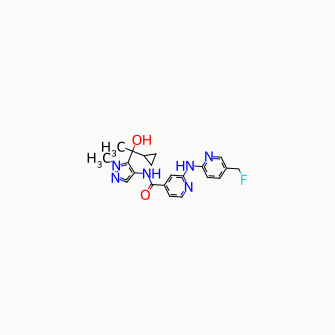 Cn1ncc(NC(=O)c2ccnc(Nc3ccc(CF)cn3)c2)c1C(C)(O)C1CC1